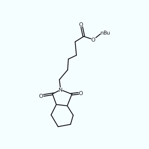 CCCCOC(=O)CCCCCN1C(=O)C2CCCCC2C1=O